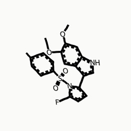 COc1cc2[nH]cc(-c3ccc(F)n3S(=O)(=O)c3ccc(C)cc3)c2cc1OC